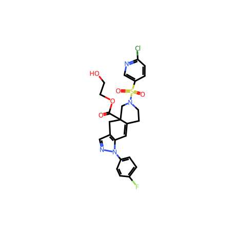 O=C(OCCO)C12Cc3cnn(-c4ccc(F)cc4)c3C=C1CCN(S(=O)(=O)c1ccc(Cl)nc1)C2